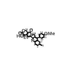 C=C1C=Cc2nc3c(c(-c4ccc(OC)cc4)c2C1)Cn1c-3cc2c(c1=O)COC(=O)C2(O)CC